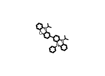 CC(C)B1c2ccccc2Oc2ccc(-c3ccc4c(c3)N(c3ccccc3)c3ccccc3B4C(C)C)cc21